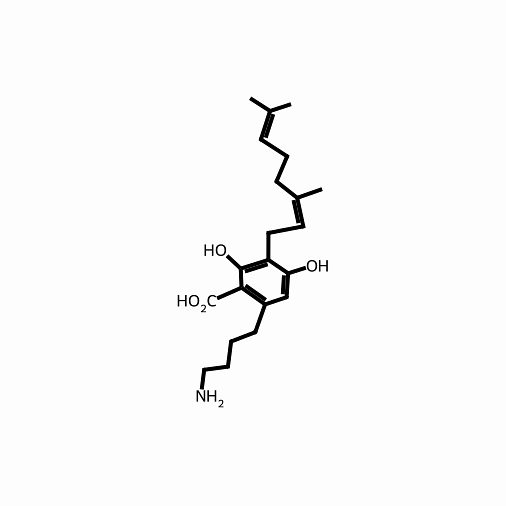 CC(C)=CCCC(C)=CCc1c(O)cc(CCCCN)c(C(=O)O)c1O